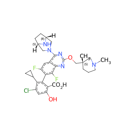 CN1CCC[C@](C)(COc2nc(N3C[C@H]4CC[C@@H](C3)N4)c3cc(F)c(-c4c(C(=O)O)c(O)cc(Cl)c4C4CC4)c(F)c3n2)C1